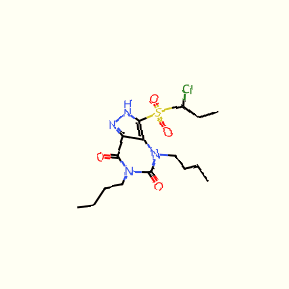 CCCCn1c(=O)c2n[nH]c(S(=O)(=O)C(Cl)CC)c2n(CCCC)c1=O